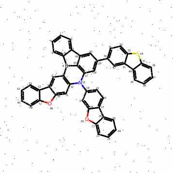 c1ccc2c(c1)B1c3cc4c(cc3N(c3ccc5c(c3)oc3ccccc35)c3cc(-c5ccc6sc7ccccc7c6c5)cc-2c31)oc1ccccc14